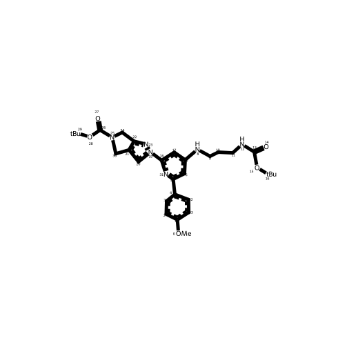 COc1ccc(-c2cc(NCCCNC(=O)OC(C)(C)C)cc(-n3cc4c(n3)CN(C(=O)OC(C)(C)C)C4)n2)cc1